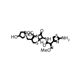 CO/N=C(\C(=O)NC1C(=O)N2C(C(=O)[O-])=C(C[N+]3(C)CCC(O)C3)CS[C@@H]12)c1csc(N)n1